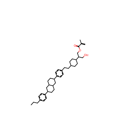 C=C(C)C(=O)OCC(CO)C1CCC(CCc2ccc(C3CCC4CC(c5ccc(CCC)cc5)CCC4C3)cc2)CC1